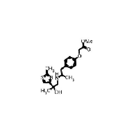 COC(=O)COc1ccc(CC(C)NCC(C)(O)c2csc(C)n2)cc1